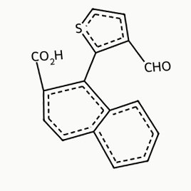 O=Cc1ccsc1-c1c(C(=O)O)ccc2ccccc12